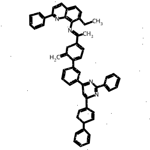 C=C1CC(/C(C)=N/c2c(CC)ccc3ccc(-c4ccccc4)nc23)=CC=C1c1cccc(-c2cc(C3=CCC(c4ccccc4)C=C3)nc(-c3ccccc3)n2)c1